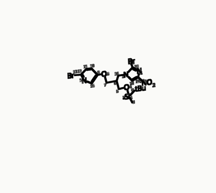 CC(C)(C)[Si](C)(C)OCC(COc1ccc(Br)nc1)Cn1cc([N+](=O)[O-])nc1Br